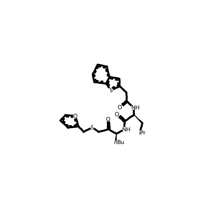 CCCC[C@H](NC(=O)[C@H](CC(C)C)NC(=O)Cc1cc2ccccc2s1)C(=O)CSCc1ccco1